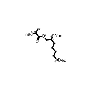 CCCCCCCCCCCCCCC(CCCCCCCCC)COC(=O)C(C)CCCC